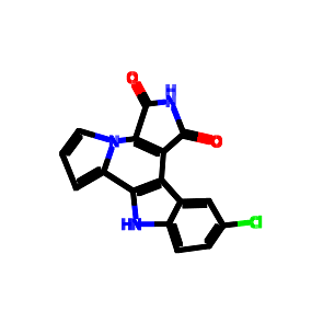 O=C1NC(=O)c2c1c1c3cc(Cl)ccc3[nH]c1c1cccn21